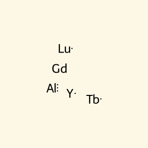 [Al].[Gd].[Lu].[Tb].[Y]